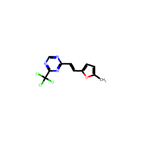 Cc1ccc(C=Cc2ncnc(C(Cl)(Cl)Cl)n2)o1